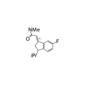 CNC(=O)/C=C1\CC(C(C)C)c2ccc(F)cc21